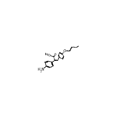 CCCCOc1ccc(C=C(C(=O)O)c2ccc(N)cc2)cc1